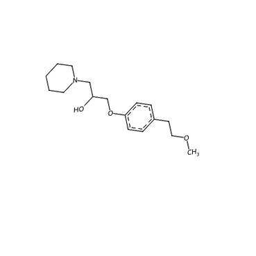 COCCc1ccc(OCC(O)CN2CCCCC2)cc1